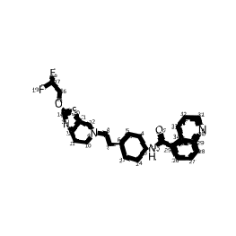 O=C(N[C@H]1CC[C@H](CCN2CCc3nc(OCC(F)F)sc3C2)CC1)c1cccc2ncccc12